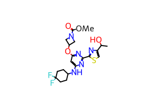 COC(=O)N1CC(Oc2cc(NC3CCC(F)(F)CC3)nc(-c3nc(C(C)O)cs3)n2)C1